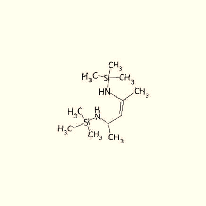 C/C(=C/C(C)N[Si](C)(C)C)N[Si](C)(C)C